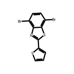 Brc1ccc(Br)c2sc(-c3cccs3)nc12